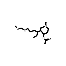 COCOCCCC(CI)C1CN(C)CCC1OC(C)=O